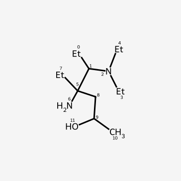 CCC(N(CC)CC)C(N)(CC)CC(C)O